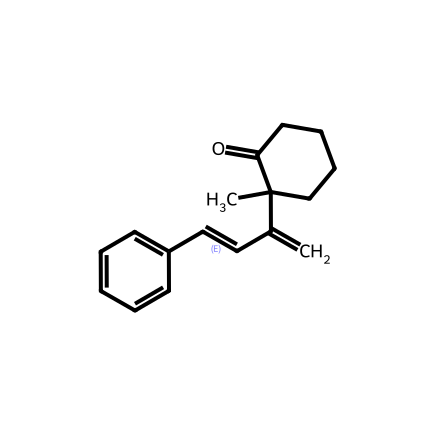 C=C(/C=C/c1ccccc1)C1(C)CCCCC1=O